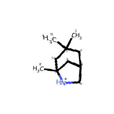 CC1(C)CC2CNC(C)(C2)C1